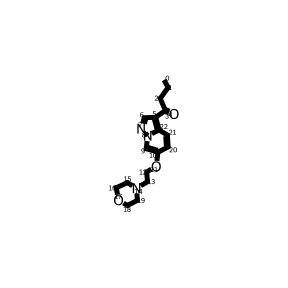 CCCC(=O)c1cnn2cc(OCCN3CCOCC3)ccc12